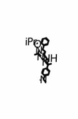 C/C(=N\Nc1cc(-c2ccccc2OC(C)C)nc(C)n1)c1ccc(N(C)C)cc1